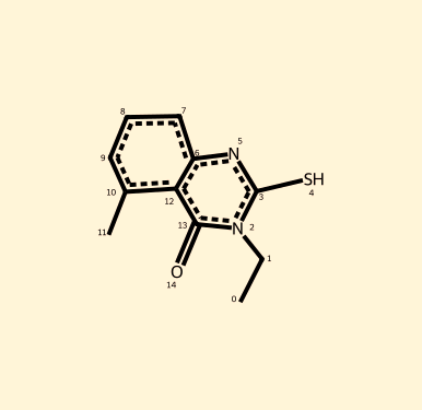 CCn1c(S)nc2cccc(C)c2c1=O